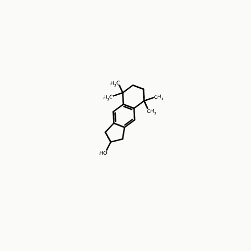 CC1(C)CCC(C)(C)c2cc3c(cc21)CC(O)C3